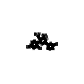 NCc1c(N)nc(-c2cccc(Cl)c2)nc1-c1ccc(Cl)cc1Cl